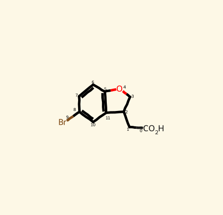 O=C(O)CC1COc2ccc(Br)cc21